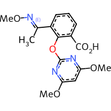 CO/N=C(\C)c1cccc(C(=O)O)c1Oc1nc(OC)cc(OC)n1